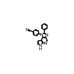 N#Cc1ccc(-n2c(-c3ccccc3)nc3cnc4[nH]ccc4c32)cc1